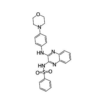 O=S(=O)(Nc1nc2ccccc2nc1Nc1ccc(N2CCOCC2)cc1)c1ccccc1